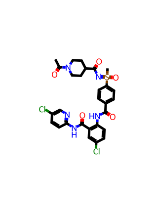 CC(=O)N1CCC(C(=O)N=S(C)(=O)c2ccc(C(=O)Nc3ccc(Cl)cc3C(=O)Nc3ccc(Cl)cn3)cc2)CC1